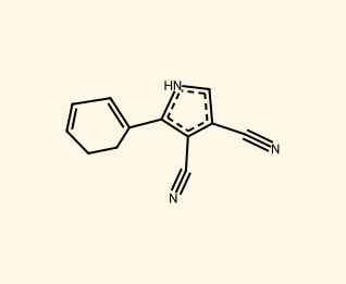 N#Cc1c[nH]c(C2=CC=CCC2)c1C#N